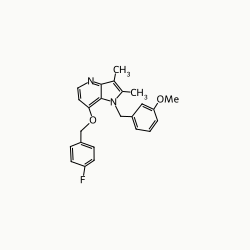 COc1cccc(Cn2c(C)c(C)c3nccc(OCc4ccc(F)cc4)c32)c1